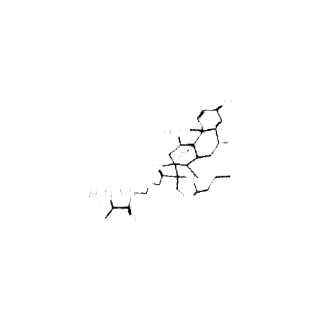 CCCC1OCC(C(=O)COCNC(=O)C(C)N)(C2(C)CC(O)[C@@]3(F)C(C[C@H](F)C4=CC(=O)C=CC43C)C2C)O1